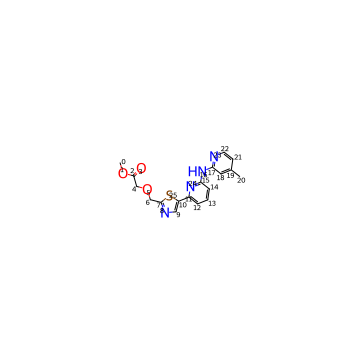 COC(=O)COCc1ncc(-c2cccc(Nc3cc(C)ccn3)n2)s1